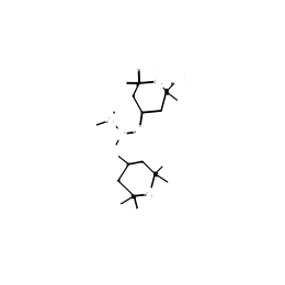 CCN(CC)P(OC1CC(C)(C)NC(C)(C)C1)OC1CC(C)(C)NC(C)(C)C1